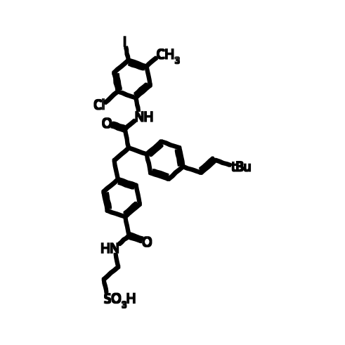 Cc1cc(NC(=O)C(Cc2ccc(C(=O)NCCS(=O)(=O)O)cc2)c2ccc(/C=C/C(C)(C)C)cc2)c(Cl)cc1I